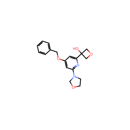 OC1(c2cc(OCc3ccccc3)cc(N3CCOC3)n2)COC1